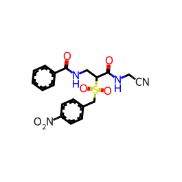 N#CCNC(=O)C(CNC(=O)c1ccccc1)S(=O)(=O)Cc1ccc([N+](=O)[O-])cc1